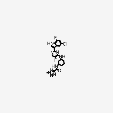 Cn1nnc(C(=O)N[C@@H]2CCC[C@H](Nc3nc(-c4c[nH]c5c(F)cc(Cl)cc45)ncc3F)C2)n1